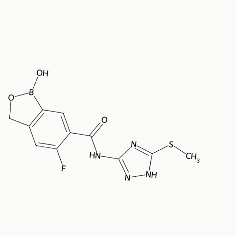 CSc1nc(NC(=O)c2cc3c(cc2F)COB3O)n[nH]1